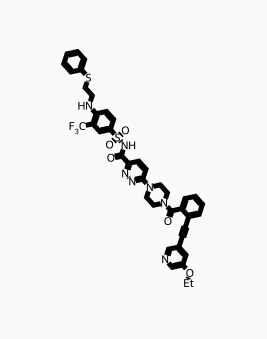 CCOc1cncc(C#Cc2ccccc2C(=O)N2CCN(c3ccc(C(=O)NS(=O)(=O)c4ccc(NCCSc5ccccc5)c(C(F)(F)F)c4)nn3)CC2)c1